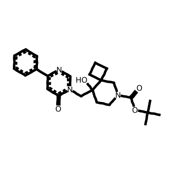 CC(C)(C)OC(=O)N1CCC(O)(Cn2cnc(-c3ccccc3)cc2=O)C2(CCC2)C1